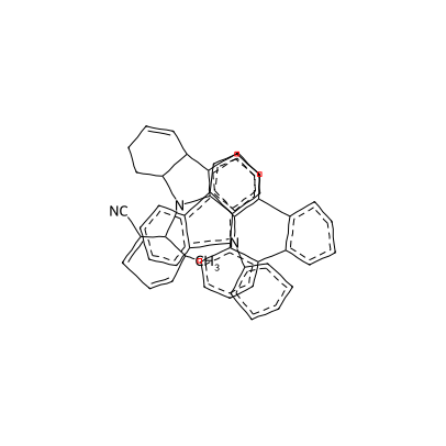 CC1C=CC=C(C#N)C1N1c2c(-c3ccccc3-c3ccccc3-c3cccc4c5ccccc5n(-c5ccccc5)c34)cccc2C2C=CCCC21